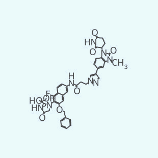 Cn1c(=O)n(C2CCC(=O)NC2=O)c2ccc(-c3cnn(CCC(=O)Nc4ccc5c(F)c(N6CC(=O)NS6(O)O)c(OCc6ccccc6)cc5c4)c3)cc21